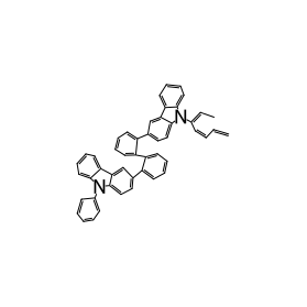 C=C/C=C\C(=C/C)n1c2ccccc2c2cc(-c3ccccc3-c3ccccc3-c3ccc4c(c3)c3ccccc3n4-c3ccccc3)ccc21